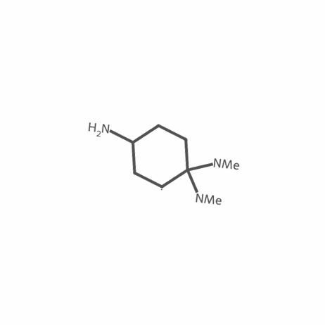 CNC1(NC)[CH]CC(N)CC1